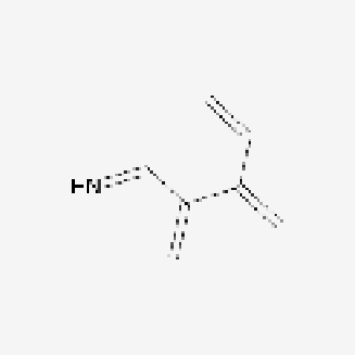 C=CC(=C)C(=C)C=N